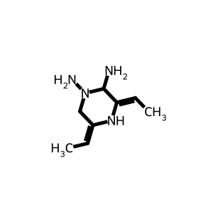 CC=C1CN(N)C(N)C(=CC)N1